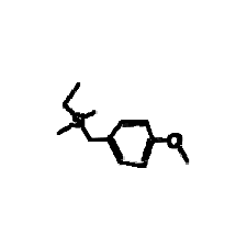 CC[Si](C)(C)Cc1ccc(OC)cc1